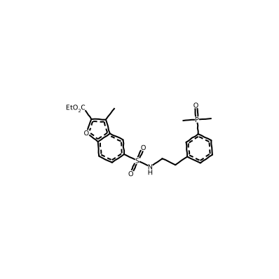 CCOC(=O)c1oc2ccc(S(=O)(=O)NCCc3cccc(P(C)(C)=O)c3)cc2c1C